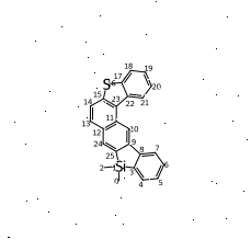 C[Si]1(C)c2ccccc2-c2cc3c(ccc4sc5ccccc5c43)cc21